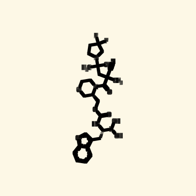 CC(C#N)(CC(C)(C)N1CCC(F)(F)C1)C(=O)N1CCOC[C@@H]1COC(=O)N[C@@H](Cc1coc2ccccc12)B(O)O